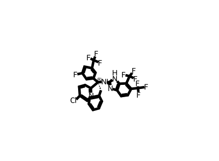 Fc1cc(C(F)(F)F)cc([C@@](Cc2ccccc2)(Nc2nc3ccc(C(F)(F)F)c(C(F)(F)F)c3[nH]2)c2ccc(Cl)cn2)c1